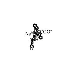 O=C([O-])CCc1ccccc1NC(=O)[C@H](CCCNC(=O)OCc1ccncc1)NC(=O)c1ccc2ccccc2n1.[Na+]